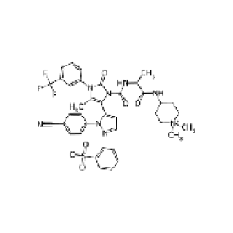 Cc1c(-c2ccnn2-c2ccc(C#N)cc2)n(C(=O)NC(C)C(=O)NC2CC[N+](C)(C)CC2)c(=O)n1-c1cccc(C(F)(F)F)c1.O=S(=O)([O-])c1ccccc1